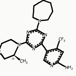 C[C@H]1COCCN1c1nc(-c2cnc(N)cc2C(F)(F)F)nc(N2CCCCCC2)n1